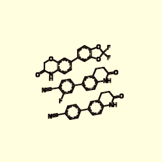 N#Cc1ccc(-c2ccc3c(c2)CCC(=O)N3)cc1.N#Cc1ccc(-c2ccc3c(c2)CCC(=O)N3)cc1F.O=C1COc2cc(-c3ccc4c(c3)OC(F)(F)O4)ccc2N1